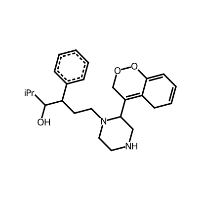 CC(C)C(O)C(CCN1CCNCC1C1=C2CC=CC=C2OOC1)c1ccccc1